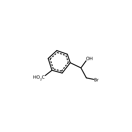 O=C(O)c1cccc(C(O)CBr)c1